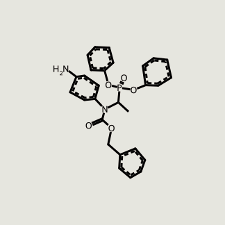 CC(N(C(=O)OCc1ccccc1)c1ccc(N)cc1)P(=O)(Oc1ccccc1)Oc1ccccc1